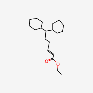 CCOC(=O)/C=C/CCC(C1CCCCC1)C1CCCCC1